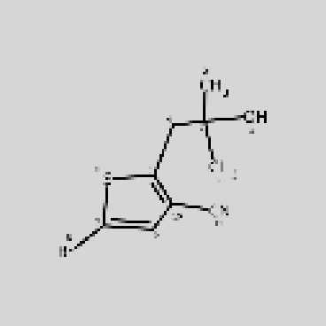 CC(C)(O)Cc1sc(Br)cc1C#N